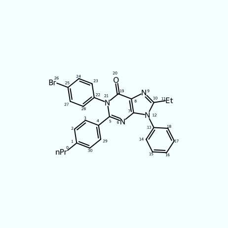 CCCc1ccc(-c2nc3c(nc(CC)n3-c3ccccc3)c(=O)n2-c2ccc(Br)cc2)cc1